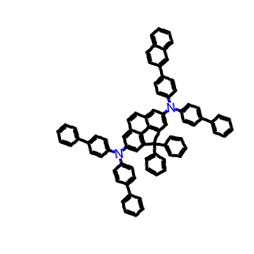 c1ccc(-c2ccc(N(c3ccc(-c4ccccc4)cc3)c3cc4c5c(ccc6cc(N(c7ccc(-c8ccccc8)cc7)c7ccc(-c8ccc9ccccc9c8)cc7)cc(c65)C4(c4ccccc4)c4ccccc4)c3)cc2)cc1